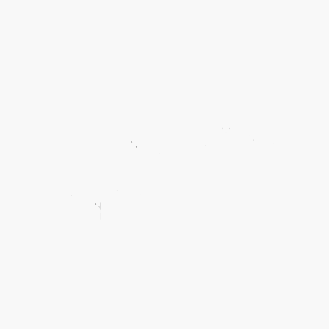 CN(c1cccc(OS(=O)(=O)F)c1)C1CCC(=O)NC1=O